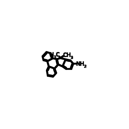 CC1(C)c2cc(N)ccc2-c2c1c1ccccc1c1ccccc21